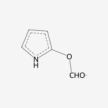 O=[C]Oc1ccc[nH]1